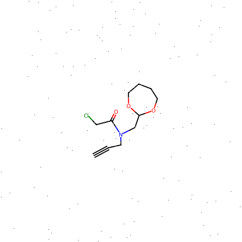 C#CCN(CC1OCCCCO1)C(=O)CCl